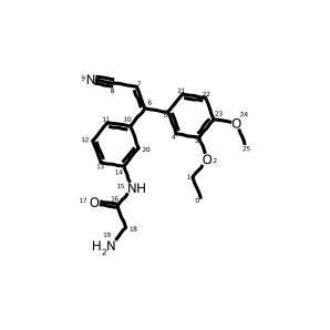 CCOc1cc(C(=CC#N)c2cccc(NC(=O)CN)c2)ccc1OC